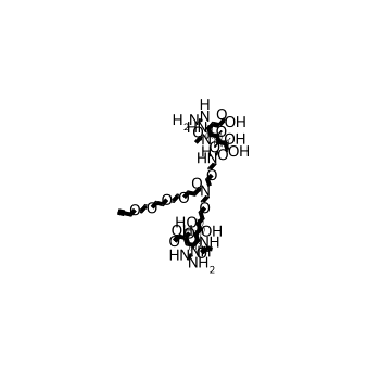 C#CCOCCOCCOCCOCCC(=O)N(CCOCCNC(=O)O[C@@H]([C@@H]1OC(C(=O)O)=C[C@H](NC(=N)N)[C@H]1NC(C)=O)[C@H](O)CO)CCOCC[C@@H](O)[C@@H](O)[C@@H]1OC(C(=O)O)=C[C@H](NC(=N)N)[C@H]1NC(C)=O